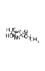 CCOC(=O)c1cnc(O)c(C)c1